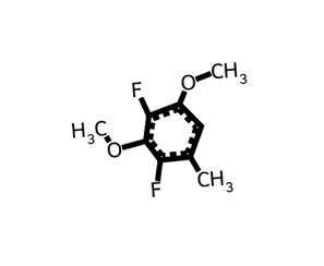 COc1cc(C)c(F)c(OC)c1F